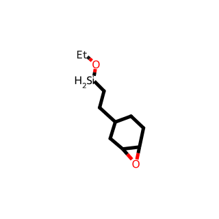 CCO[SiH2]CCC1CCC2OC2C1